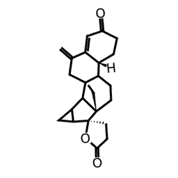 C=C1CC2C(CC[C@@]3(CC)C2C2CC2[C@@]32CCC(=O)O2)[C@H]2CCC(=O)C=C12